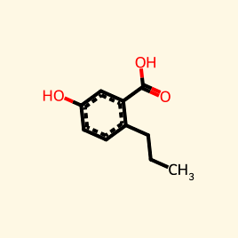 CCCc1ccc(O)cc1C(=O)O